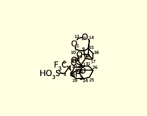 O=C(OC(CS(=O)(=O)O)(C(F)(F)F)C(F)(F)F)C1C2COCOC3C2CC1C3OC(=O)C12CC3CC(CC(C3)C1)C2